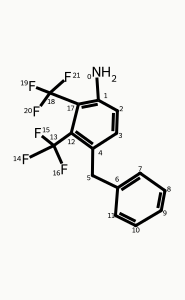 Nc1ccc(Cc2ccccc2)c(C(F)(F)F)c1C(F)(F)F